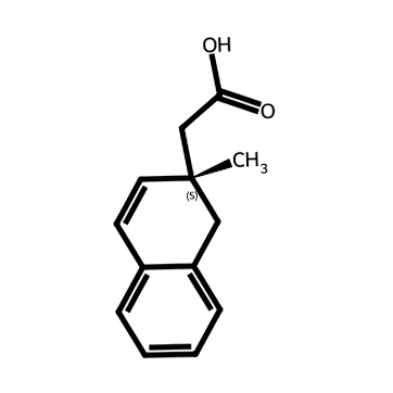 C[C@]1(CC(=O)O)C=Cc2ccccc2C1